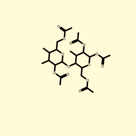 CC(=O)OCC1OC(OC2C(COC(C)=O)OC(OC(C)=O)C(OC(C)=O)C2C)C(OC(C)=O)C(C)C1C